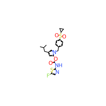 CC(C)Cc1cc(OC(=O)Nc2ncc(F)s2)n(Cc2ccc(S(=O)(=O)C3CC3)cc2)c1